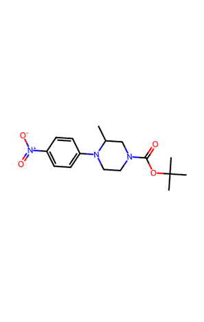 CC1CN(C(=O)OC(C)(C)C)CCN1c1ccc([N+](=O)[O-])cc1